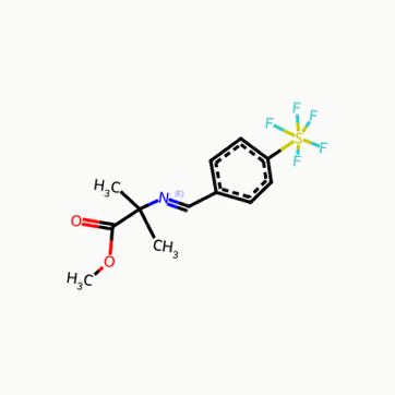 COC(=O)C(C)(C)/N=C/c1ccc(S(F)(F)(F)(F)F)cc1